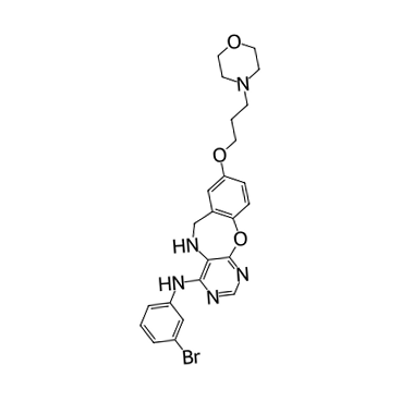 Brc1cccc(Nc2ncnc3c2NCc2cc(OCCCN4CCOCC4)ccc2O3)c1